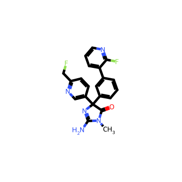 CN1C(=O)C(c2ccc(CF)nc2)(c2cccc(-c3cccnc3F)c2)N=C1N